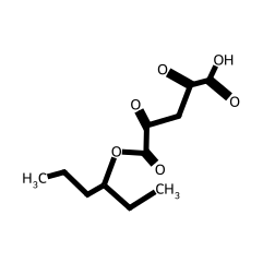 CCCC(CC)OC(=O)C(=O)CC(=O)C(=O)O